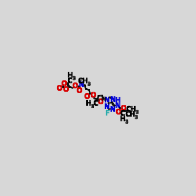 Cc1oc(=O)oc1COC(=O)N(C)CCCC(=O)OC[C@]1(C)CC[C@H](n2cnc3c(NC(=O)OC(C)(C)C)nc(F)nc32)O1